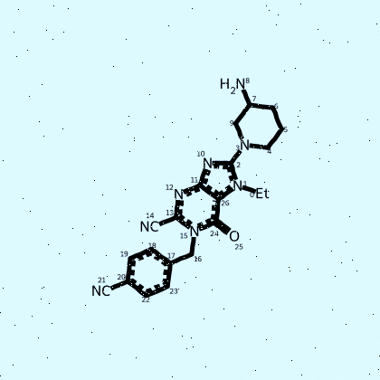 CCn1c(N2CCCC(N)C2)nc2nc(C#N)n(Cc3ccc(C#N)cc3)c(=O)c21